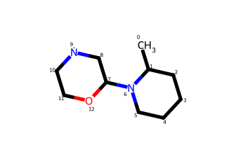 CC1CCCCN1C1C[N]CCO1